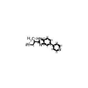 CC(C)CC(C)c1nc2cc(-c3ccncc3)ccc2[nH]1